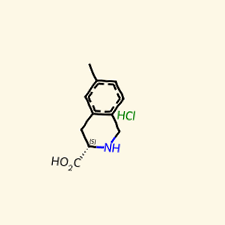 Cc1ccc2c(c1)C[C@@H](C(=O)O)NC2.Cl